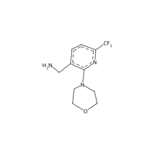 NCc1ccc(C(F)(F)F)nc1N1CCOCC1